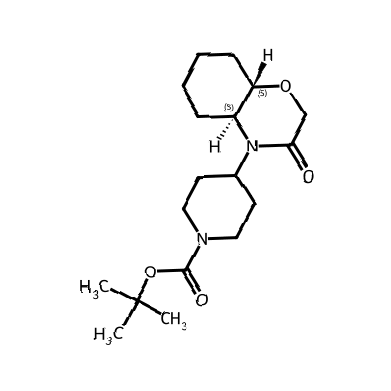 CC(C)(C)OC(=O)N1CCC(N2C(=O)CO[C@H]3CCCC[C@@H]32)CC1